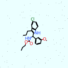 CCCOC(=O)NC(c1cccc(OC)c1)c1[nH]c2ccc(Cl)cc2c1CCC